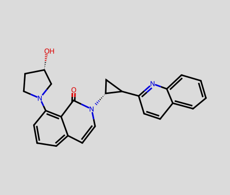 O=c1c2c(N3CC[C@H](O)C3)cccc2ccn1[C@@H]1CC1c1ccc2ccccc2n1